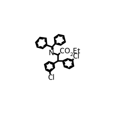 CCOC(=O)C(N=C(c1ccccc1)c1ccccc1)C(c1cccc(Cl)c1)c1cccc(Cl)c1